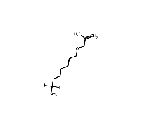 C=C(C)COCCCCCCC([SiH3])(I)I